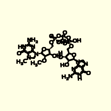 CO[C@@H]1[C@H](O)[C@@H](COP(=O)(O)OP(=O)(O)OP(=O)(O)OC[C@H]2O[C@@H](n3cnc4c(=O)[nH]c(N)nc43)[C@H](O)[C@@H]2O)O[C@H]1N1CN(C)c2c1nc(N)[nH]c2=O